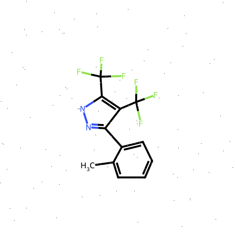 Cc1ccccc1C1=N[N]C(C(F)(F)F)=C1C(F)(F)F